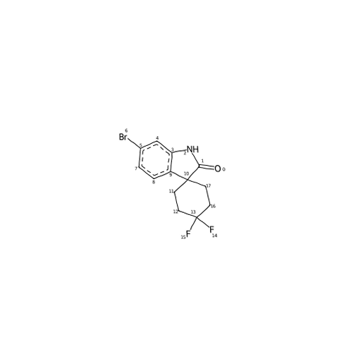 O=C1Nc2cc(Br)ccc2C12CCC(F)(F)CC2